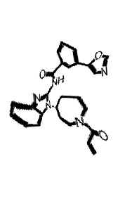 C=CC(=O)N1CCC[C@@H](n2c(NC(=O)c3cccc(-c4cnco4)c3)nc3ccccc32)CC1